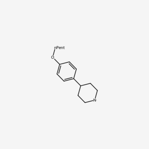 CCCCCOc1ccc(C2CC[N]CC2)cc1